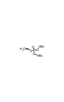 C=CSP(=O)(OCCCC)OCCCC